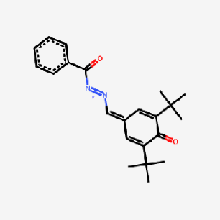 CC(C)(C)C1=CC(=C/N=N/C(=O)c2ccccc2)C=C(C(C)(C)C)C1=O